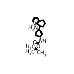 CC(C)(C)OC(=O)N[C@@H]1C=C[C@@](N)(C2CCCc3cccnc32)CC1